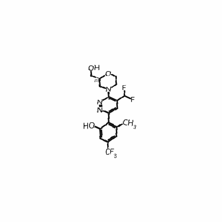 Cc1cc(C(F)(F)F)cc(O)c1-c1cc(C(F)F)c(N2CCO[C@H](CO)C2)nn1